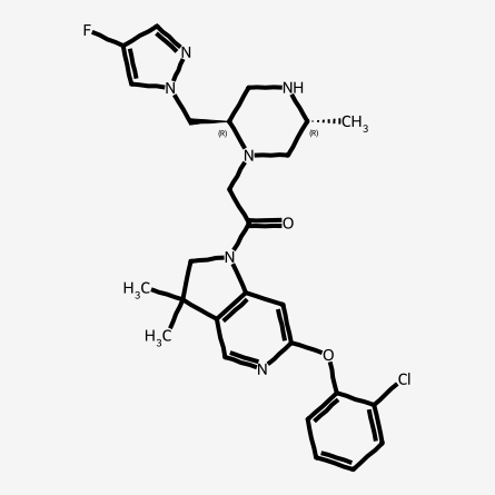 C[C@@H]1CN(CC(=O)N2CC(C)(C)c3cnc(Oc4ccccc4Cl)cc32)[C@@H](Cn2cc(F)cn2)CN1